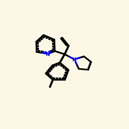 C=CC(c1ccc(C)cc1)(c1ccccn1)N1CCCC1